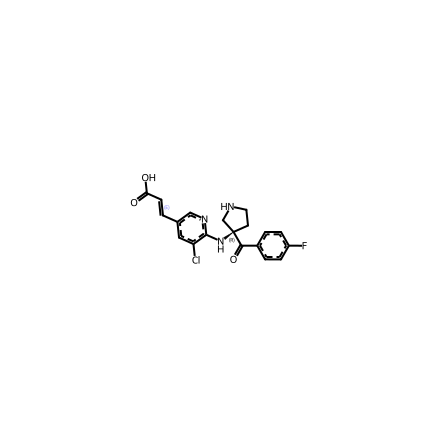 O=C(O)/C=C/c1cnc(N[C@]2(C(=O)c3ccc(F)cc3)CCNC2)c(Cl)c1